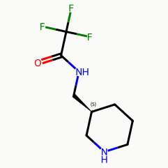 O=C(NC[C@H]1CCCNC1)C(F)(F)F